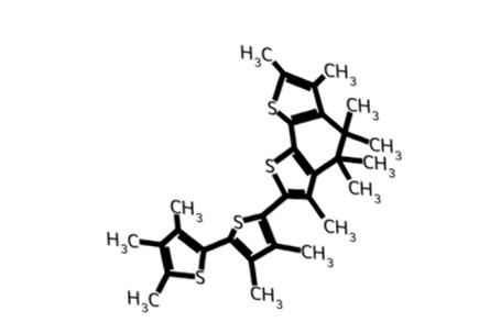 Cc1sc(-c2sc(-c3sc4c(c3C)C(C)(C)C(C)(C)c3c-4sc(C)c3C)c(C)c2C)c(C)c1C